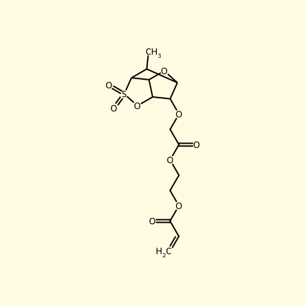 C=CC(=O)OCCOC(=O)COC1C2OC3C1OS(=O)(=O)C3C2C